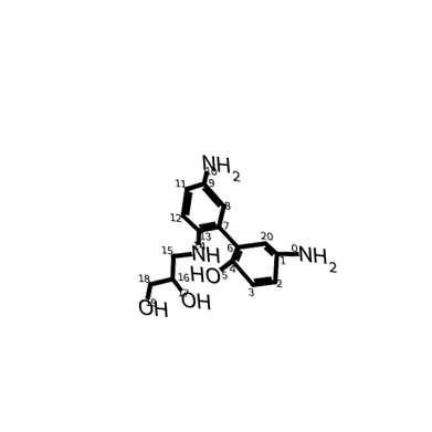 Nc1ccc(O)c(-c2cc(N)ccc2NCC(O)CO)c1